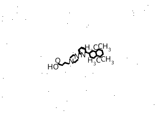 CC1(C)CCC(C)(C)C2CC(c3cccc(N4CCN(CCCC(=O)O)CC4)n3)CCC21